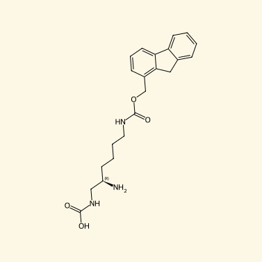 N[C@H](CCCCNC(=O)OCc1cccc2c1Cc1ccccc1-2)CNC(=O)O